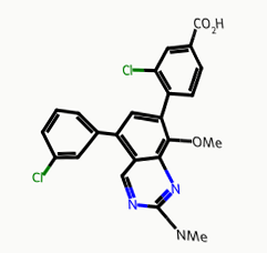 CNc1ncc2c(-c3cccc(Cl)c3)cc(-c3ccc(C(=O)O)cc3Cl)c(OC)c2n1